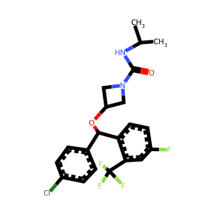 CC(C)NC(=O)N1CC(OC(c2ccc(Cl)cc2)c2ccc(F)cc2C(F)(F)F)C1